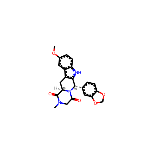 COc1ccc2[nH]c3c(c2c1)C[C@@H]1C(=O)N(C)CC(=O)N1[C@H]3c1ccc2c(c1)OCO2